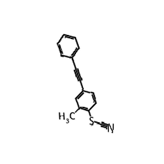 Cc1cc(C#Cc2ccccc2)ccc1SC#N